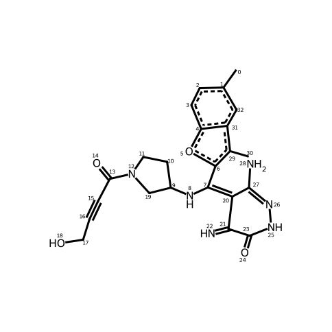 Cc1ccc2oc(/C(NC3CCN(C(=O)C#CCO)C3)=C3/C(=N)C(=O)NN=C3N)c(C)c2c1